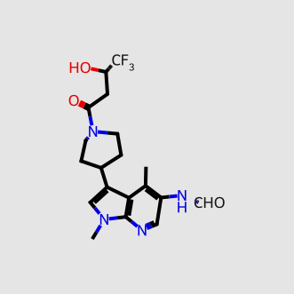 Cc1c(NC=O)cnc2c1c(C1CCN(C(=O)CC(O)C(F)(F)F)CC1)cn2C